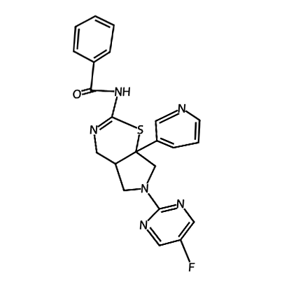 O=C(NC1=NCC2CN(c3ncc(F)cn3)CC2(c2cccnc2)S1)c1ccccc1